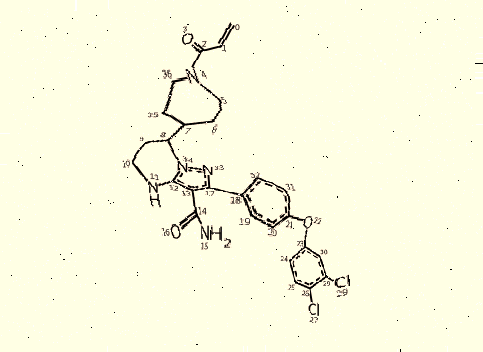 C=CC(=O)N1CCC(C2CCNc3c(C(N)=O)c(-c4ccc(Oc5ccc(Cl)c(Cl)c5)cc4)nn32)CC1